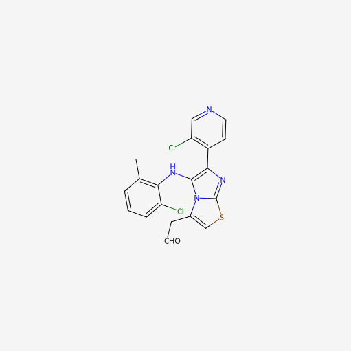 Cc1cccc(Cl)c1Nc1c(-c2ccncc2Cl)nc2scc(CC=O)n12